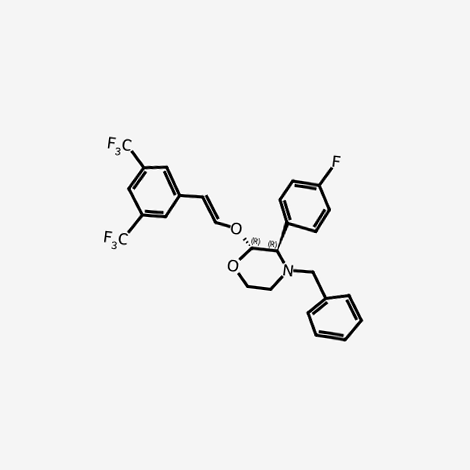 Fc1ccc([C@@H]2[C@@H](OC=Cc3cc(C(F)(F)F)cc(C(F)(F)F)c3)OCCN2Cc2ccccc2)cc1